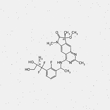 CO[C@@]1(C)C(=O)N(C)c2cc3c(NC(C)c4cccc(C(F)(F)[C@](C)(O)CO)c4F)nc(C)nc3cc21